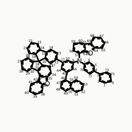 c1ccc(-c2ccc(N(c3cc(-c4ccc5c(c4)C4(c6ccccc6-5)c5ccccc5-c5c4ccc4oc6ccccc6c54)cc(-c4cccc5ccccc45)c3)c3cccc4c3oc3ccccc34)cc2)cc1